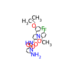 CC(C)COc1cc(F)cc(-c2ccc(C(=O)NS(=O)(=O)c3cccc(N)n3)c(OC(C)c3ccc(F)cc3)n2)c1